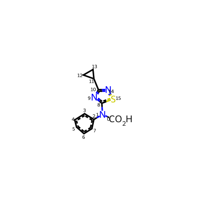 O=C(O)N(c1ccccc1)c1nc(C2CC2)ns1